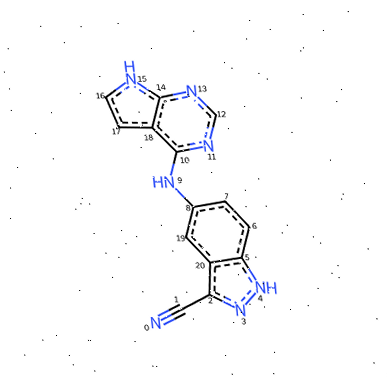 N#Cc1n[nH]c2ccc(Nc3ncnc4[nH]ccc34)cc12